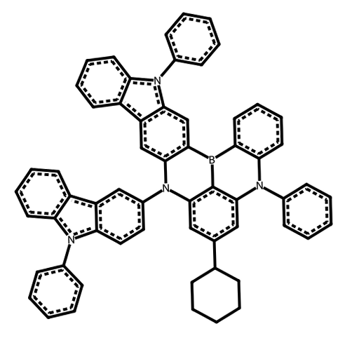 c1ccc(N2c3ccccc3B3c4cc5c(cc4N(c4ccc6c(c4)c4ccccc4n6-c4ccccc4)c4cc(C6CCCCC6)cc2c43)c2ccccc2n5-c2ccccc2)cc1